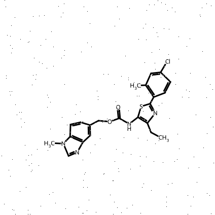 CCc1nc(-c2ccc(Cl)cc2C)sc1NC(=O)OCc1ccc2c(c1)ncn2C